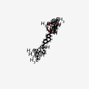 COC(=O)N[C@H](C(=O)N1CCC[C@H]1c1ncc(-c2ccc3c(c2)CCc2cc(-c4cnc([C@@H]5[C@H]6CCCCCCCCCCC[C@H](CC6)N5C(=O)[C@@H](NC(=O)OC)[C@@H](C)OC)[nH]4)ccc2-3)[nH]1)[C@@H](C)OC